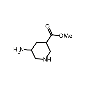 COC(=O)C1CNCC(N)C1